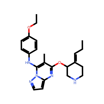 CC/C=C1\CCNCC1Oc1nc2ccnn2c(Nc2ccc(OCC)cc2)c1C